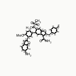 COc1ccc(-c2cc3c(C(N)=O)c(Cc4ccc(F)cc4)oc3cc2N(C)S(C)(=O)=O)cc1-c1nc2ccc(N)cc2o1